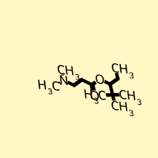 CCC(OC(=O)CCN(C)C)C(C)(C)C